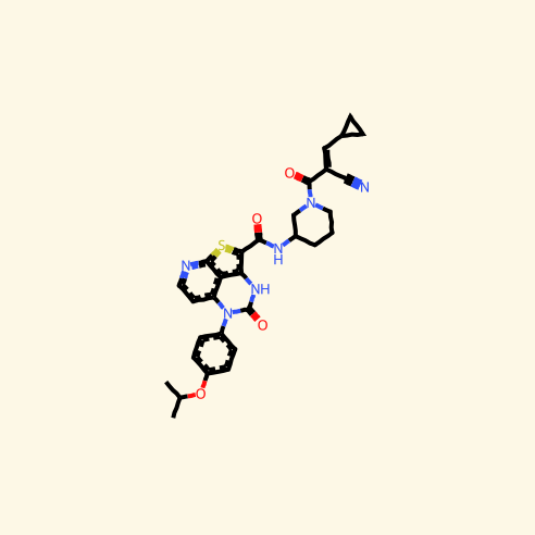 CC(C)Oc1ccc(N2C(=O)Nc3c(C(=O)NC4CCCN(C(=O)C(C#N)=CC5CC5)C4)sc4nccc2c34)cc1